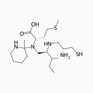 CCC(C)[C@@H](CN([C@@H](CCSC)C(=O)O)C1(C)CCCCN1)NC[C@@H](N)CS